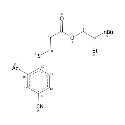 CCCCC(CC)COC(=O)CCSc1ccc(C#N)cc1C(C)=O